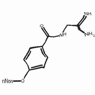 CCCCCCCCCOc1ccc(C(=O)NCC(=N)N)cc1